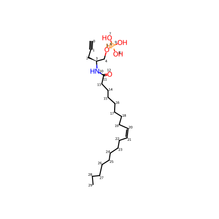 C#CC[C@@H](CO[PH](O)(O)O)NC(=O)CCCCCCC/C=C\CCCCCCCC